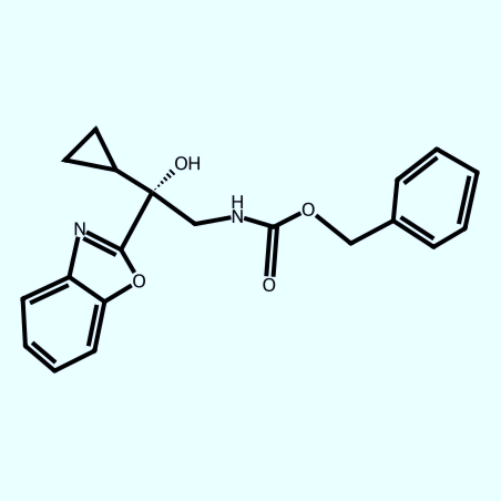 O=C(NC[C@@](O)(c1nc2ccccc2o1)C1CC1)OCc1ccccc1